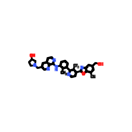 Cc1c(Nc2nccc3cc(CN4CCC(O)C4)cnc23)cccc1-c1nccc(-c2nc3cc(CO)cc(C#N)c3o2)c1C(F)(F)F